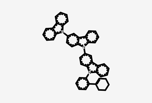 C1=C(c2ccccc2-n2c3ccccc3c3cc(-n4c5ccccc5c5cc(-n6c7ccccc7c7ccccc76)ccc54)ccc32)CCCC1